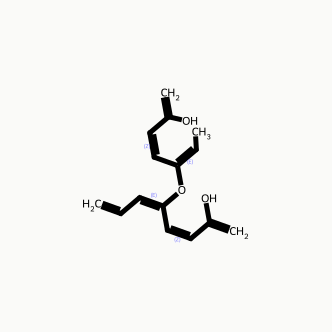 C=C/C=C(\C=C/C(=C)O)OC(/C=C\C(=C)O)=C/C